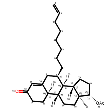 C=CCCCCCC[C@@H]1CC2=CC(=O)CC[C@@H]2[C@H]2CC[C@]3(C)[C@@H](OC(C)=O)CC[C@H]3[C@H]12